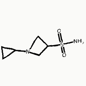 NS(=O)(=O)C1CN(C2CC2)C1